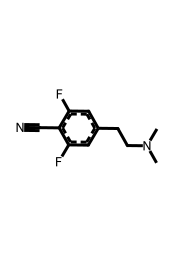 CN(C)CCc1cc(F)c(C#N)c(F)c1